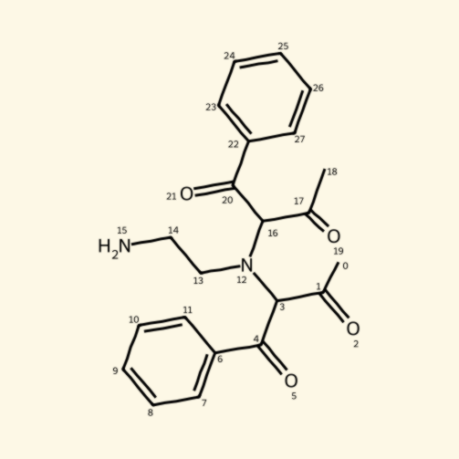 CC(=O)C(C(=O)c1ccccc1)N(CCN)C(C(C)=O)C(=O)c1ccccc1